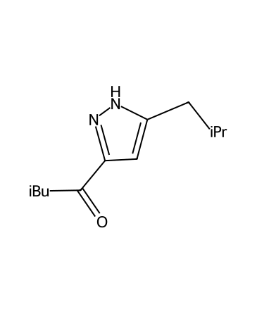 CCC(C)C(=O)c1cc(CC(C)C)[nH]n1